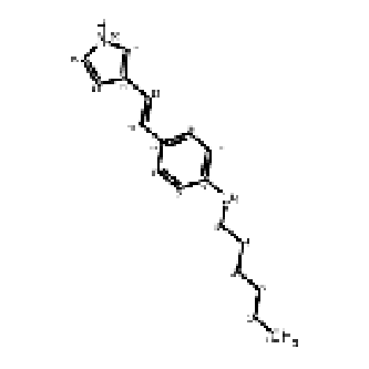 CCCCCCOc1ccc(C=Cc2cc[nH]c2)cc1